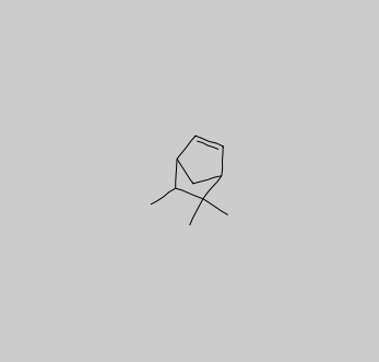 CC1C2C=CC(C2)C1(C)C